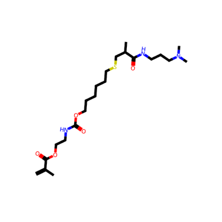 C=C(C)C(=O)OCCNC(=O)OCCCCCCSCC(C)C(=O)NCCCN(C)C